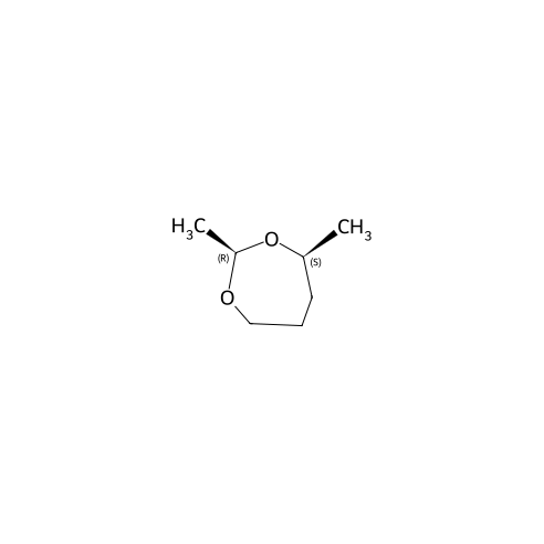 C[C@@H]1OCCC[C@H](C)O1